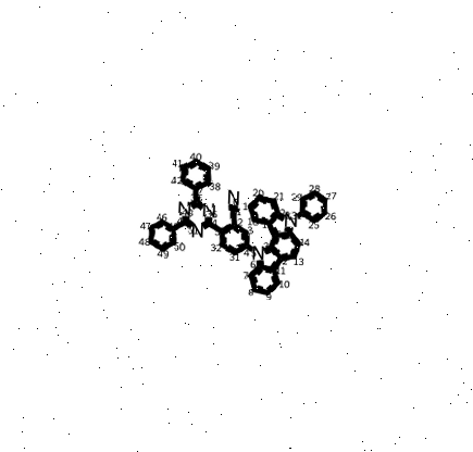 N#Cc1cc(-n2c3ccccc3c3ccc4c(c5ccccc5n4-c4ccccc4)c32)ccc1-c1nc(-c2ccccc2)nc(-c2ccccc2)n1